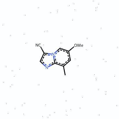 COc1cc(C)c2ncc(C#N)n2c1